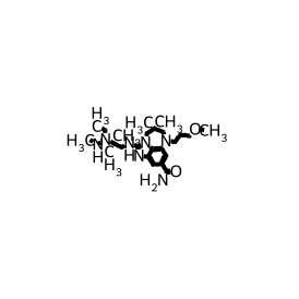 CCN(NC)C(C)(C)CNc1nc2cc(C(N)=O)cc3c2n1CC(C)(C)CN3CCCOC